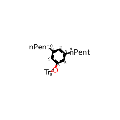 CCCCCc1cc(CCCCC)cc([O][Ti])c1